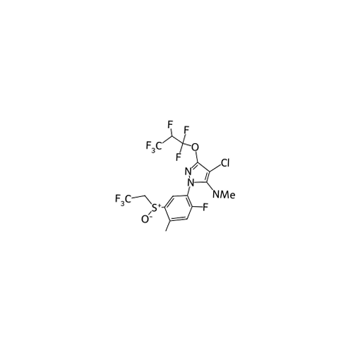 CNc1c(Cl)c(OC(F)(F)C(F)C(F)(F)F)nn1-c1cc([S+]([O-])CC(F)(F)F)c(C)cc1F